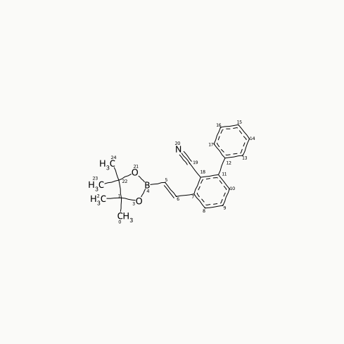 CC1(C)OB(C=Cc2cccc(-c3ccccc3)c2C#N)OC1(C)C